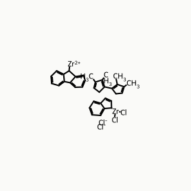 CC1=CCC(C2=C(C)C(C)=CC2)=C1C.[Cl-].[Cl-].[Cl][Zr]([Cl])[CH]1C=Cc2ccccc21.[Zr+2][CH]1c2ccccc2-c2ccccc21